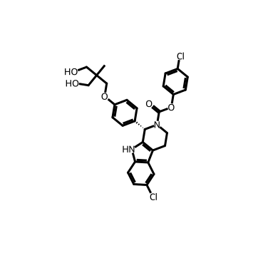 CC(CO)(CO)COc1ccc([C@H]2c3[nH]c4ccc(Cl)cc4c3CCN2C(=O)Oc2ccc(Cl)cc2)cc1